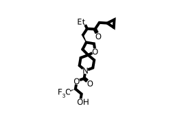 CCC(C[C@H]1COC2(CCN(C(=O)O[C@H](CO)C(F)(F)F)CC2)C1)C(=O)CC1CC1